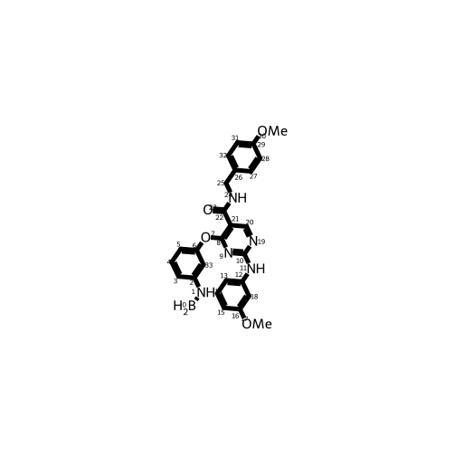 BNc1cccc(Oc2nc(Nc3cccc(OC)c3)ncc2C(=O)NCc2ccc(OC)cc2)c1